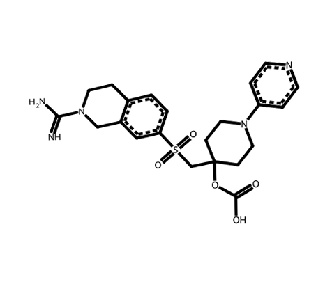 N=C(N)N1CCc2ccc(S(=O)(=O)CC3(OC(=O)O)CCN(c4ccncc4)CC3)cc2C1